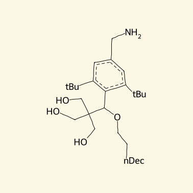 CCCCCCCCCCCCOC(c1c(C(C)(C)C)cc(CN)cc1C(C)(C)C)C(CO)(CO)CO